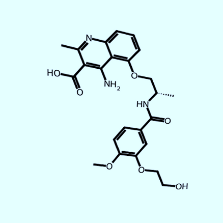 COc1ccc(C(=O)N[C@@H](C)COc2cccc3nc(C)c(C(=O)O)c(N)c23)cc1OCCO